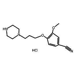 COc1cc(C#N)ccc1OCCCN1CCNCC1.Cl